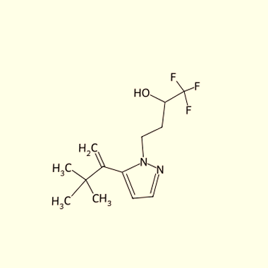 C=C(c1ccnn1CCC(O)C(F)(F)F)C(C)(C)C